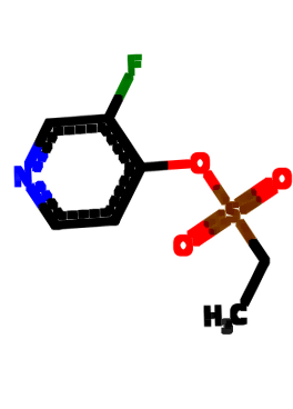 CCS(=O)(=O)Oc1ccncc1F